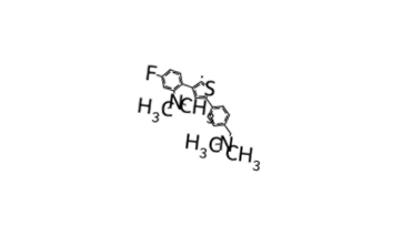 CN(C)Cc1ccc(-c2cc(-c3ccc(F)cc3N(C)C)[c]s2)cc1